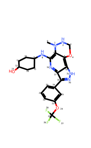 CN1NCOc2c1c(NC1CCC(O)CC1)nc1c(-c3cccc(OC(F)(F)F)c3)n[nH]c21